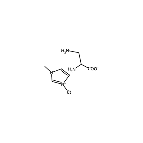 CC[n+]1ccn(C)c1.NCC(N)C(=O)[O-]